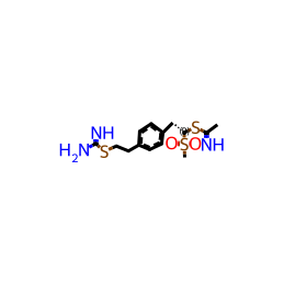 CC(=N)S[C@@H](Cc1ccc(CCSC(=N)N)cc1)S(C)(=O)=O